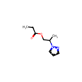 CCC(=O)OCC(C)n1cccn1